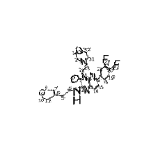 O=c1c(NCCC2CCOCC2)nc2ccc(-c3ccc(F)c(F)c3)nc2n1CCN1CCOCC1